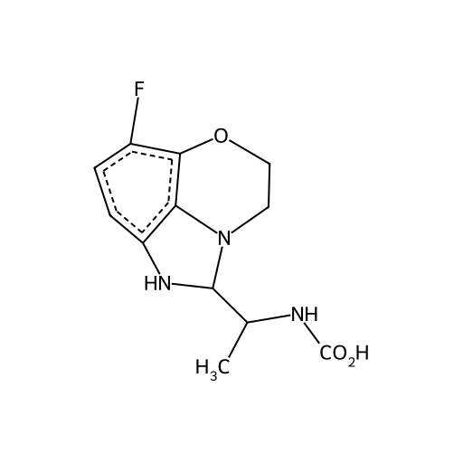 CC(NC(=O)O)C1Nc2ccc(F)c3c2N1CCO3